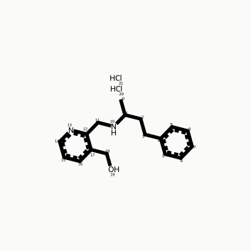 CC(CCc1ccccc1)NCc1ncccc1CO.Cl.Cl